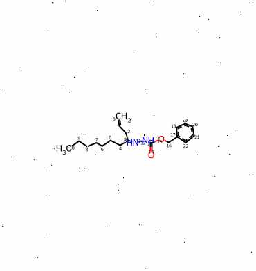 C=CC[C@H](CCCCCCC)NNC(=O)OCc1ccccc1